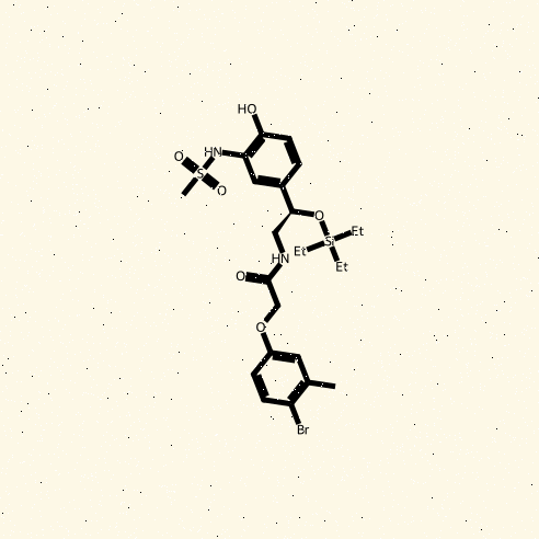 CC[Si](CC)(CC)O[C@@H](CNC(=O)COc1ccc(Br)c(C)c1)c1ccc(O)c(NS(C)(=O)=O)c1